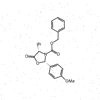 COc1ccc([C@@H]2OC(=O)[C@H](C(C)C)N2C(=O)OCc2ccccc2)cc1